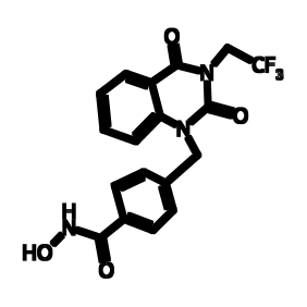 O=C(NO)c1ccc(Cn2c(=O)n(CC(F)(F)F)c(=O)c3ccccc32)cc1